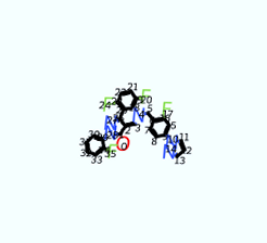 O=c1c2cn(Cc3ccc(-n4cccn4)cc3F)c3c(F)ccc(F)c3c-2nn1-c1ccccc1F